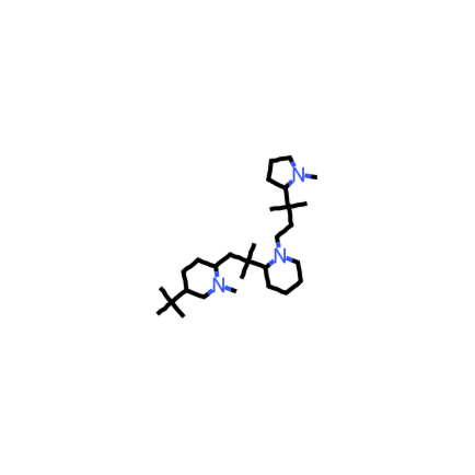 CN1CC(C(C)(C)C)CCC1CC(C)(C)C1CCCCN1CCC(C)(C)C1CCCN1C